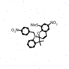 CSc1cc([N+](=O)[O-])cc2c1OC1(C=C2)N(Cc2ccc([N+](=O)[O-])cc2)c2ccccc2C1(C)C